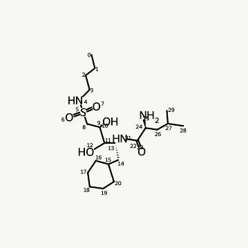 CCCCNS(=O)(=O)C[C@@H](O)C(O)[C@@H](CC1CCCCC1)NC(=O)[C@@H](N)CC(C)C